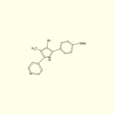 CSc1ccc(-c2[nH]c(-c3ccncc3)c(C)c2C(C)=O)cc1